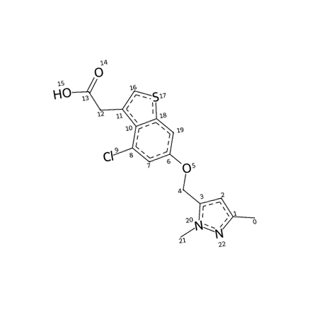 Cc1cc(COc2cc(Cl)c3c(CC(=O)O)csc3c2)n(C)n1